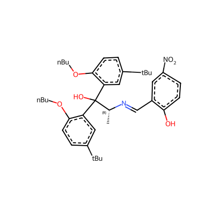 CCCCOc1ccc(C(C)(C)C)cc1C(O)(c1cc(C(C)(C)C)ccc1OCCCC)[C@@H](C)N=Cc1cc([N+](=O)[O-])ccc1O